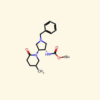 CC1CCC(=O)N([C@H]2CN(Cc3ccccc3)C[C@@H]2NC(=O)OC(C)(C)C)C1